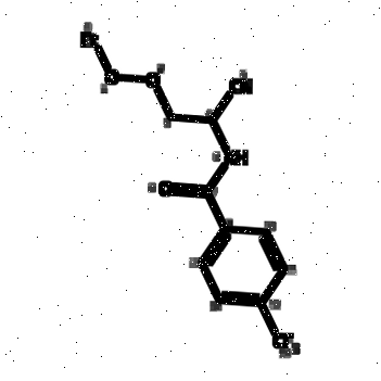 CCOOCC(C#N)NC(=O)c1ccc(C(F)(F)F)cc1